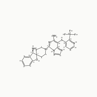 Nc1nc(N2CCC3(CC2)Oc2ccccc2[C@H]3N)n2ccnc2c1Sc1cccnc1C(F)(F)F